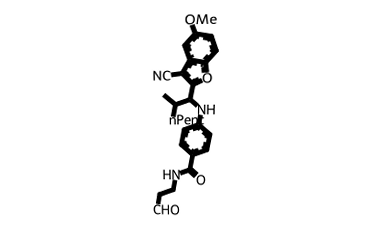 CCCCCC(C)C(Nc1ccc(C(=O)NCCC=O)cc1)c1oc2ccc(OC)cc2c1C#N